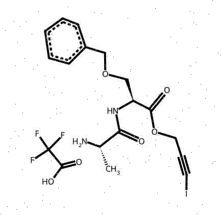 C[C@H](N)C(=O)N[C@@H](COCc1ccccc1)C(=O)OCC#CI.O=C(O)C(F)(F)F